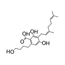 CC(C)=CCCC(C)=CCc1c(O)cc(CCCCO)c(C(=O)O)c1O